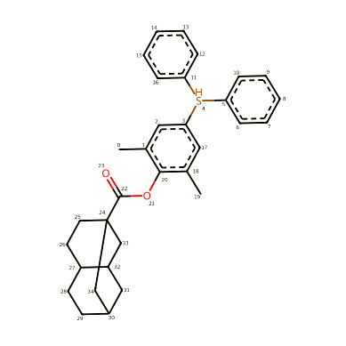 Cc1cc([SH](c2ccccc2)c2ccccc2)cc(C)c1OC(=O)C12CCC3CCC(CC3C1)C2